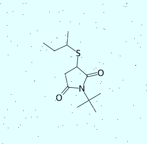 CCC(C)SC1CC(=O)N(C(C)(C)C)C1=O